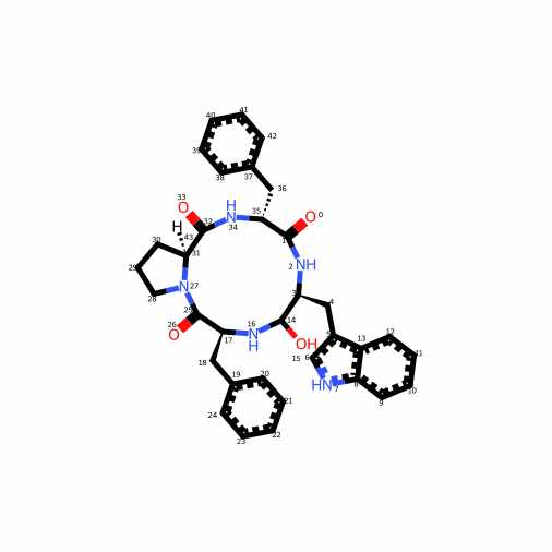 O=C1N[C@@H](Cc2c[nH]c3ccccc23)C(O)N[C@@H](Cc2ccccc2)C(=O)N2CCC[C@H]2C(=O)N[C@@H]1Cc1ccccc1